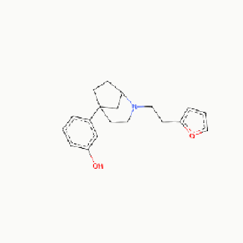 Oc1cccc(C23CCC(C2)N(CCc2ccco2)CC3)c1